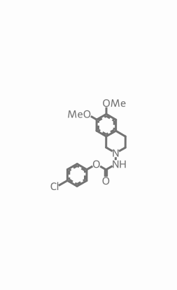 COc1cc2c(cc1OC)CN(NC(=O)Oc1ccc(Cl)cc1)CC2